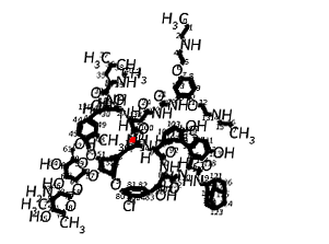 CCCNCCOc1ccc(OCCNCCC)c(NC(=O)NC(=O)C[C@@H]2NC(=O)[C@H](NC(=O)[C@@H](CC(C)C)NC)[C@H](O)c3ccc(c(C)c3)Oc3cc4cc(c3O[C@@H]3O[C@H](CO)[C@@H](O)[C@H](O)[C@H]3O[C@H]3C[C@](C)(N)[C@H](O)[C@H](C)O3)Oc3ccc(cc3Cl)[C@@H](O)[C@@H]3NC(=O)[C@H](NC(=O)[C@@H]4NC2=O)c2ccc(O)c(c2)-c2c(C)cc(O)cc2[C@@H](C(=O)NC2C4CC5CC(C4)CC2C5)NC3=O)c1